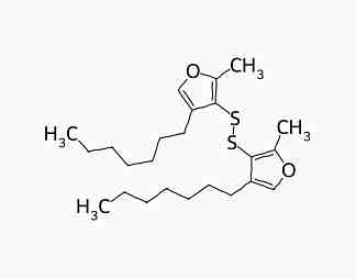 CCCCCCCc1coc(C)c1SSc1c(CCCCCCC)coc1C